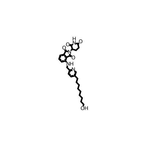 O=C1CCC(N2C(=O)c3cccc(NCc4ccc(CCCCCCCCCO)cn4)c3C2=O)C(=O)N1